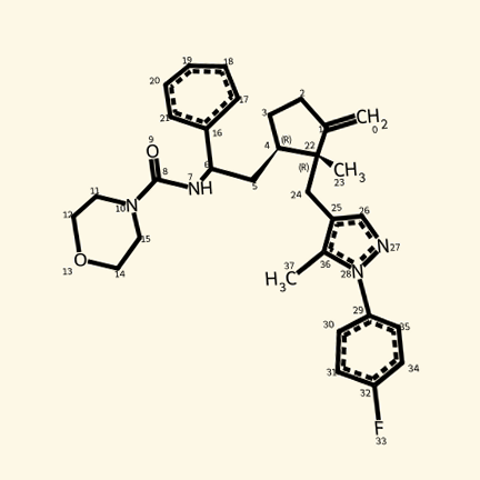 C=C1CC[C@H](CC(NC(=O)N2CCOCC2)c2ccccc2)[C@@]1(C)Cc1cnn(-c2ccc(F)cc2)c1C